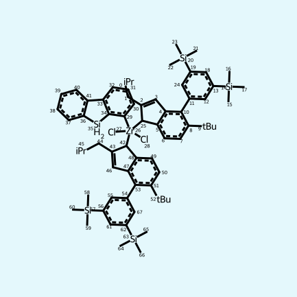 CC(C)CC1=Cc2c(ccc(C(C)(C)C)c2-c2cc([Si](C)(C)C)cc([Si](C)(C)C)c2)[CH]1[Zr]([Cl])([Cl])([c]1cccc2c1[SiH2]c1ccccc1-2)[CH]1C(CC(C)C)=Cc2c1ccc(C(C)(C)C)c2-c1cc([Si](C)(C)C)cc([Si](C)(C)C)c1